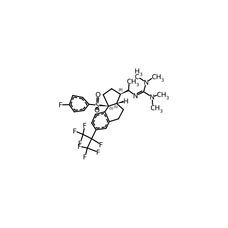 CC(N=C(N(C)C)N(C)C)[C@@H]1CC[C@@]2(S(=O)(=O)c3ccc(F)cc3)c3ccc(C(F)(C(F)(F)F)C(F)(F)F)cc3CC[C@@H]12